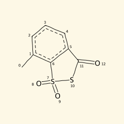 Cc1cccc2c1S(=O)(=O)SC2=O